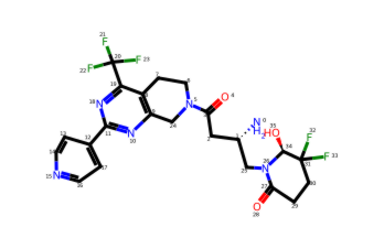 N[C@@H](CC(=O)N1CCc2c(nc(-c3ccncc3)nc2C(F)(F)F)C1)CN1C(=O)CCC(F)(F)[C@@H]1O